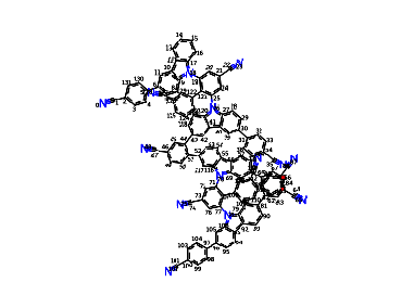 N#Cc1ccc(-c2ccc3c(c2)c2ccccc2n3-c2cc(C#N)cc(-n3c4ccc(-c5ccc(C#N)cc5)cc4c4cc(-c5cc(C#N)ccc5-c5ccc6c7ccc(-c8ccc(C#N)cc8)cc7n(-c7cc(C#N)cc(-n8c9cc(-c%10ccc(C#N)cc%10)ccc9c9ccc(-c%10ccc(C#N)cc%10)cc98)c7-c7cccc(C#N)c7)c6c5)ccc43)c2-c2cccc(C#N)c2)cc1